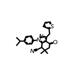 CC(C)c1ccc(-n2nc(Cc3cccs3)c3c2C(C#N)C(C)(C)CC3=O)cc1